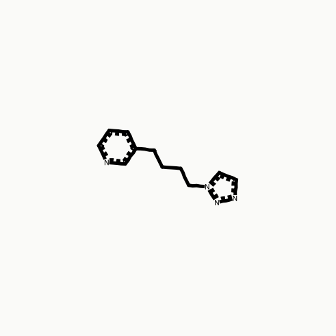 [CH](CCCn1ccnn1)c1cccnc1